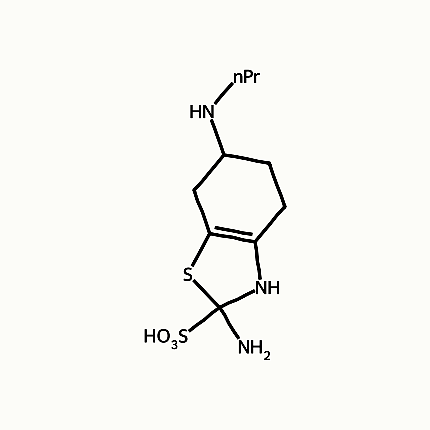 CCCNC1CCC2=C(C1)SC(N)(S(=O)(=O)O)N2